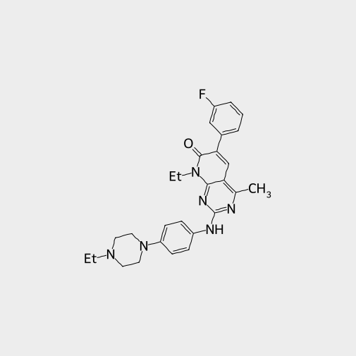 CCN1CCN(c2ccc(Nc3nc(C)c4cc(-c5cccc(F)c5)c(=O)n(CC)c4n3)cc2)CC1